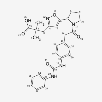 CC(C)(Cc1cc(C2CCCN2C(=O)Cc2ccc(NC(=O)Nc3ccccc3)nc2)on1)C(=O)O